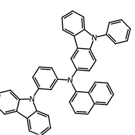 c1ccc(-n2c3ccccc3c3cc(N(c4cccc(-n5c6ccccc6c6ccccc65)c4)c4cccc5ccccc45)ccc32)cc1